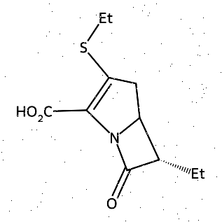 CCSC1=C(C(=O)O)N2C(=O)[C@@H](CC)C2C1